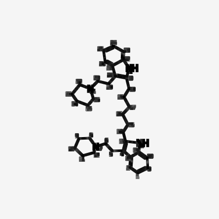 c1ccc2c(CCN3CCCCC3)c(CCCCCCc3[nH]c4ccccc4c3CCN3CCCCC3)[nH]c2c1